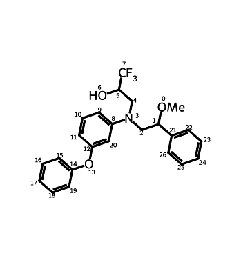 COC(CN(CC(O)C(F)(F)F)c1cccc(Oc2ccccc2)c1)c1ccccc1